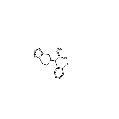 O.O=C(O)C(c1ccccc1Cl)N1CCc2sccc2C1